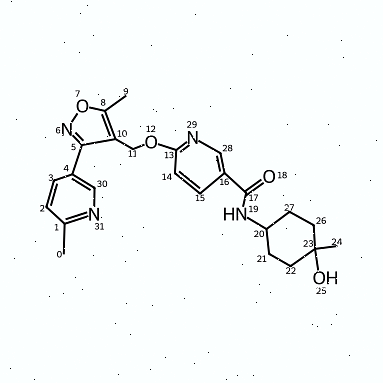 Cc1ccc(-c2noc(C)c2COc2ccc(C(=O)NC3CCC(C)(O)CC3)cn2)cn1